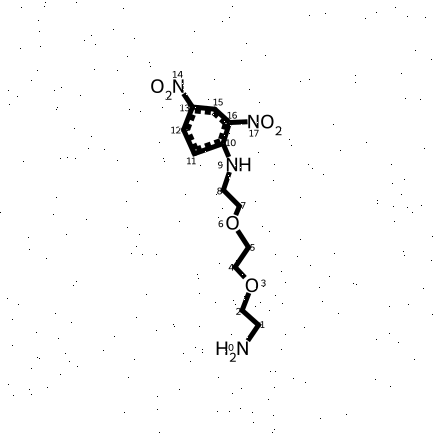 NCCOCCOCCNc1ccc([N+](=O)[O-])cc1[N+](=O)[O-]